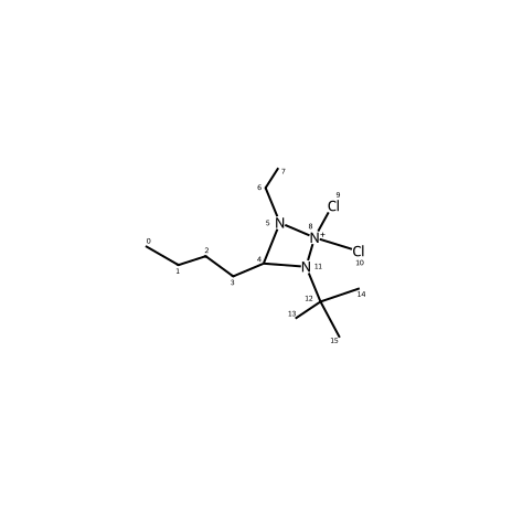 CCCCC1N(CC)[N+](Cl)(Cl)N1C(C)(C)C